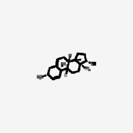 C[C@]12CC[C@H]3[C@@H](CC=C4C[C@@H](N)C=C[C@@]43C)[C@@H]1CC[C@@H]2O